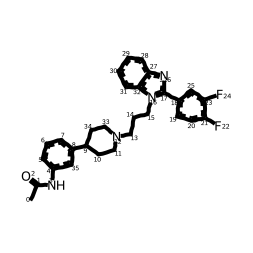 CC(=O)Nc1cccc(C2CCN(CCCn3c(-c4ccc(F)c(F)c4)nc4ccccc43)CC2)c1